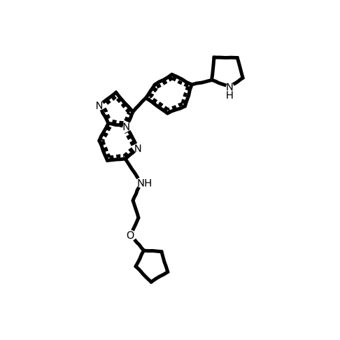 c1cc(C2CCCN2)ccc1-c1cnc2ccc(NCCOC3CCCC3)nn12